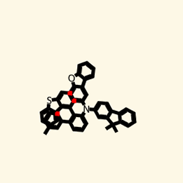 Cc1cccc(-c2cccc(N(c3ccc4c(c3)C(C)(C)c3ccccc3-4)c3ccc4oc5ccccc5c4c3)c2-c2cccc3sc4ccccc4c23)c1